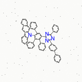 c1ccc(-c2ccc(-c3nc(-c4ccccc4)nc(-c4cc(-c5ccccc5)c(-n5c6ccccc6c6cc7ccccc7cc65)c(-c5ccccc5)c4-c4ccccc4)n3)cc2)cc1